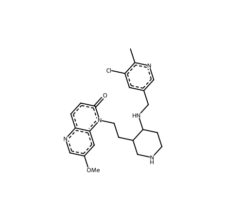 COc1cnc2ccc(=O)n(CCC3CNCCC3NCc3cnc(C)c(Cl)c3)c2c1